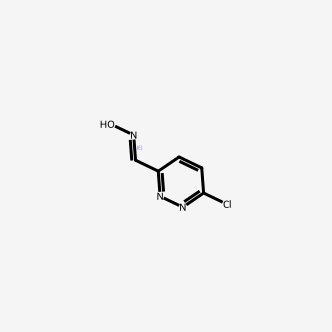 O/N=C/c1ccc(Cl)nn1